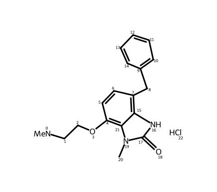 CNCCOc1ccc(Cc2ccccc2)c2[nH]c(=O)n(C)c12.Cl